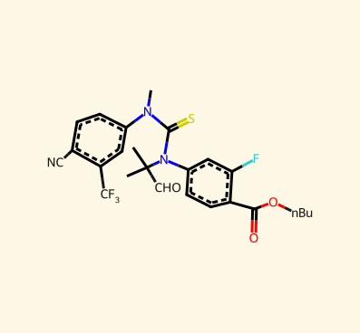 CCCCOC(=O)c1ccc(N(C(=S)N(C)c2ccc(C#N)c(C(F)(F)F)c2)C(C)(C)C=O)cc1F